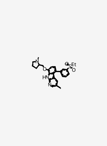 CCS(=O)(=O)c1cccc(-c2ccc(OCC3CCCN3C)c3[nH]c4ncc(C)cc4c23)c1